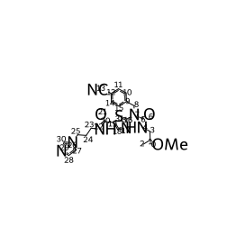 COC(C)CNC(=O)N(Cc1ccc(C#N)cc1)c1ncc(C(=O)NCCCn2ccnc2)s1